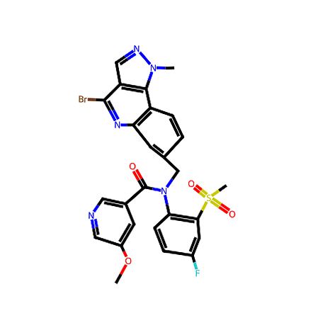 COc1cncc(C(=O)N(Cc2ccc3c(c2)nc(Br)c2cnn(C)c23)c2ccc(F)cc2S(C)(=O)=O)c1